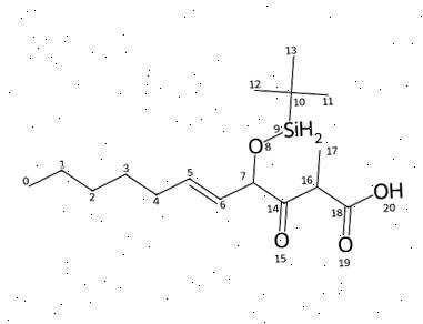 CCCCCC=CC(O[SiH2]C(C)(C)C)C(=O)C(C)C(=O)O